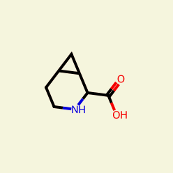 O=C(O)C1NCCC2CC21